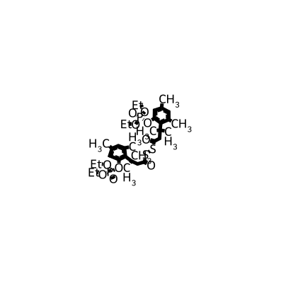 CCOP(=O)(OCC)Oc1cc(C)cc(C)c1C(C)(C)CC(=O)SSC(=O)CC(C)(C)c1c(C)cc(C)cc1OP(=O)(OCC)OCC